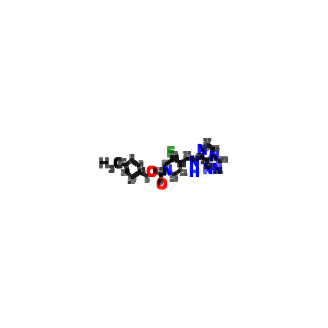 Cc1ccc(COC(=O)N2CC[C@H](CNc3nccn4cnnc34)[C@H](F)C2)cc1